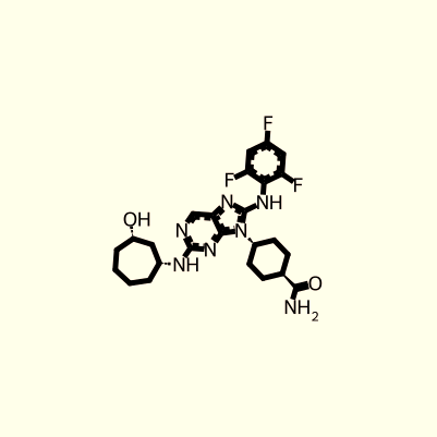 NC(=O)[C@H]1CC[C@H](n2c(Nc3c(F)cc(F)cc3F)nc3cnc(N[C@@H]4CCCC[C@H](O)C4)nc32)CC1